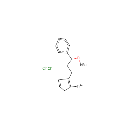 CCCCOC(CCC1=[C]([Ti+2])CC=C1)c1ccccc1.[Cl-].[Cl-]